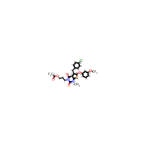 Cn1c(=O)n(CCCOC(=O)C(F)(F)F)c(=O)c2c(Cc3ccc(Cl)cc3)c(Oc3cccc(OC(F)(F)F)c3)sc21